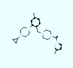 CC(=O)c1ccn(C(=O)N2CCN(Cc3ccc(C)cc3N3CCN(C4CC4)CC3)CC2)n1